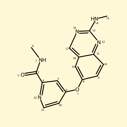 CNC(=O)c1cc(Oc2ccc3nc(NC)ncc3c2)ccn1